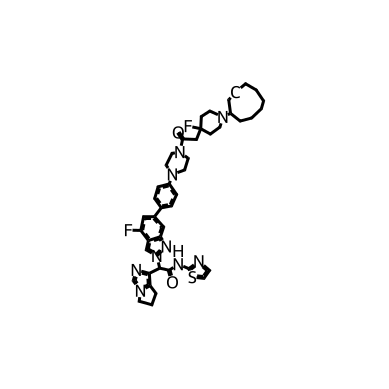 O=C(Nc1nccs1)C(c1ncn2c1CCC2)n1cc2c(F)cc(-c3ccc(N4CCN(C(=O)CC5(F)CCN(C6CCCCCCCC6)CC5)CC4)cc3)cc2n1